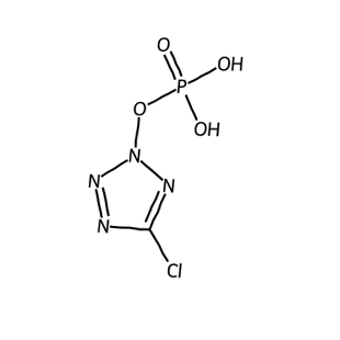 O=P(O)(O)On1nnc(Cl)n1